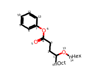 CCCCCCCCC(CCC(=O)Oc1ccccc1)OCCCCCC